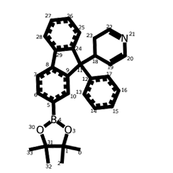 CC1(C)OB(c2ccc3c(c2)C(c2ccccc2)(C2C=CN=CC2)c2ccccc2-3)OC1(C)C